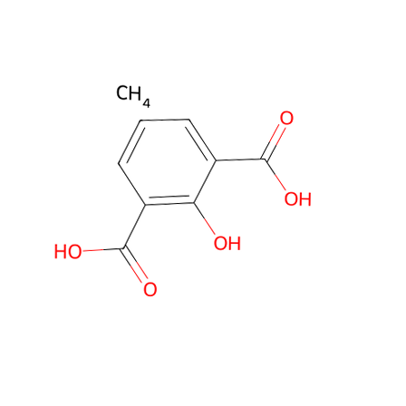 C.O=C(O)c1cccc(C(=O)O)c1O